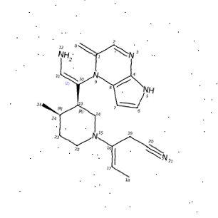 C=C1C=Nc2[nH]ccc2N1/C(=C\N)[C@H]1CN(C(=CC)CC#N)CC[C@H]1C